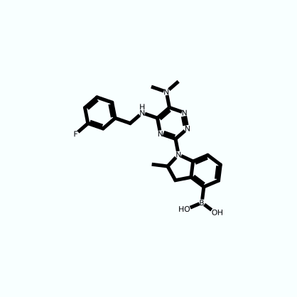 CC1Cc2c(B(O)O)cccc2N1c1nnc(N(C)C)c(NCc2cccc(F)c2)n1